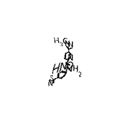 Cn1cc(-c2ccc(C(=O)Nc3cc(-c4cncs4)ccc3N)nc2)cn1